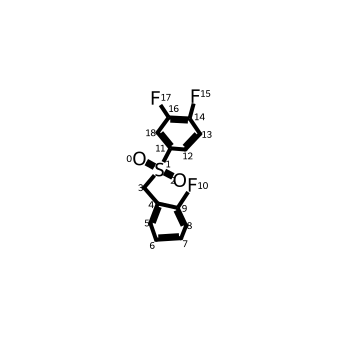 O=S(=O)(Cc1ccccc1F)c1ccc(F)c(F)c1